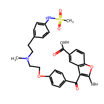 CCCCc1oc2ccc(C(=O)OC)cc2c1C(=O)c1ccc(OCCN(C)CCc2ccc(NS(C)(=O)=O)cc2)cc1